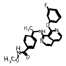 CONC(=O)c1ccc([C@H](C)Nc2nccc3ccnc(Oc4cccc(F)c4)c23)cc1